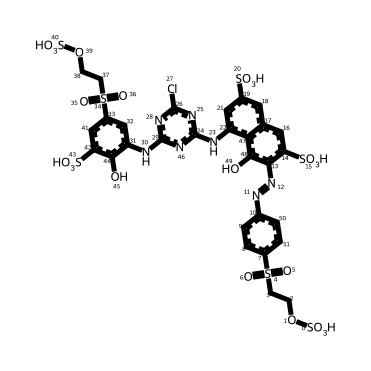 O=S(=O)(O)OCCS(=O)(=O)c1ccc(/N=N/c2c(S(=O)(=O)O)cc3cc(S(=O)(=O)O)cc(Nc4nc(Cl)nc(Nc5cc(S(=O)(=O)CCOS(=O)(=O)O)cc(S(=O)(=O)O)c5O)n4)c3c2O)cc1